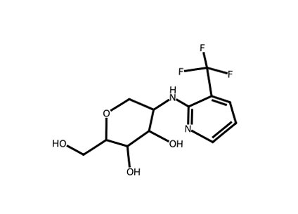 OCC1OCC(Nc2ncccc2C(F)(F)F)C(O)C1O